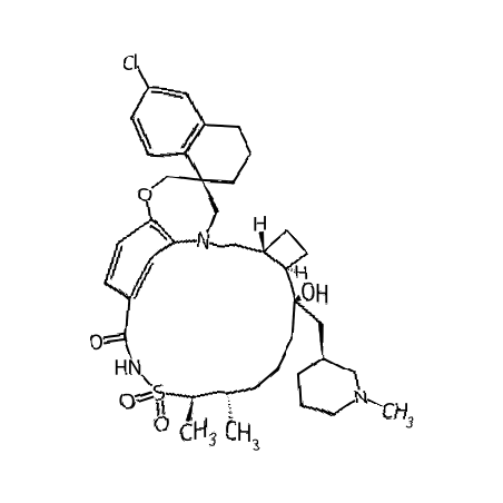 C[C@@H]1[C@@H](C)CCC[C@@](O)(C[C@@H]2CCCN(C)C2)[C@@H]2CC[C@H]2CN2C[C@@]3(CCCc4cc(Cl)ccc43)COc3ccc(cc32)C(=O)NS1(=O)=O